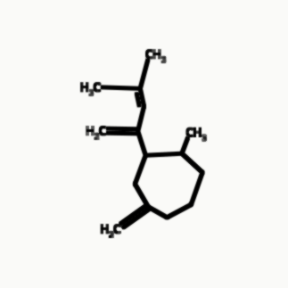 C=C1CCCC(C)C(C(=C)C=C(C)C)C1